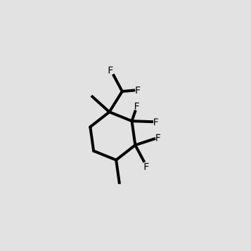 CC1CCC(C)(C(F)F)C(F)(F)C1(F)F